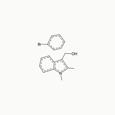 Brc1ccccc1.Cc1c(CO)c2ccccc2n1C